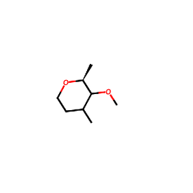 COC1C(C)CCO[C@H]1C